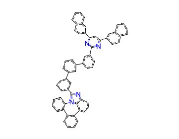 c1cc(-c2cccc(-c3nc(-c4ccc5ccccc5c4)cc(-c4ccc5ccccc5c4)n3)c2)cc(-c2cccc(-c3nc4cccc5c4n3-c3ccccc3-c3ccccc3-5)c2)c1